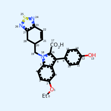 CCOc1ccc2c(c1)c(-c1ccc(O)cc1)c(C(=O)O)n2CC1C=Cc2nsnc2C1